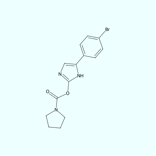 O=C(Oc1ncc(-c2ccc(Br)cc2)[nH]1)N1CCCC1